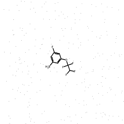 Bc1cc(F)cc(OC(F)(F)C(F)F)c1